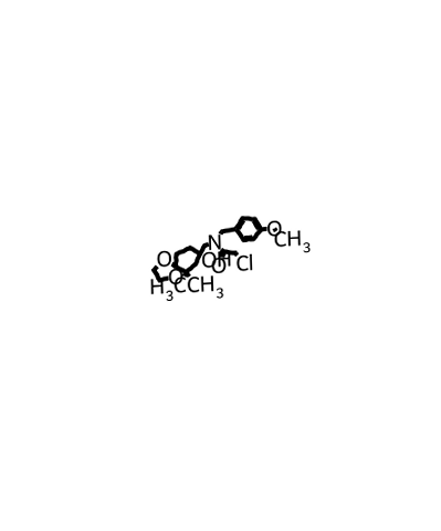 COc1ccc(CN(CC2(O)CCC3(OCCO3)C(C)(C)C2)C(=O)CCl)cc1